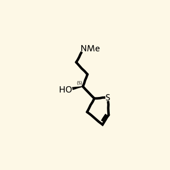 CNCC[C@H](O)C1CC=CS1